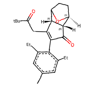 CCc1cc(C)cc(CC)c1C1=C(CC(=O)C(C)(C)C)[C@@H]2C3CC[C@H](O3)[C@@H]2C1=O